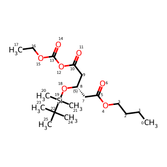 CCCCOC(=O)C[C@@H](CC(=O)OC(=O)OCC)O[Si](C)(C)C(C)(C)C